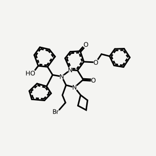 O=C1c2c(OCc3ccccc3)c(=O)ccn2N(C(c2ccccc2)c2ccccc2O)C(CCBr)N1C1CCC1